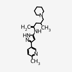 C=C(CC(C)CN1CCCCC1)Nc1cc(-c2ccc(C)nc2)n[nH]1